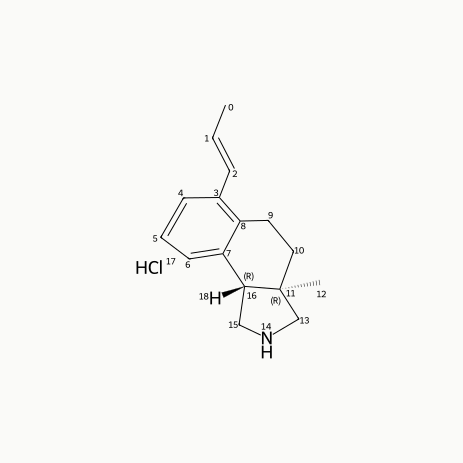 CC=Cc1cccc2c1CC[C@@]1(C)CNC[C@H]21.Cl